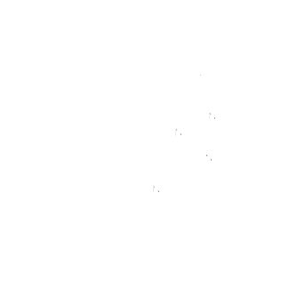 c1ccc(C(=Nc2cnc3nc(C4CC4)cn3c2)c2ccccc2)cc1